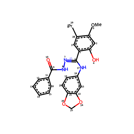 COc1cc(O)c(/C(=N/NC(=O)c2ccccc2)Nc2ccc3c(c2)OCO3)cc1C(C)C